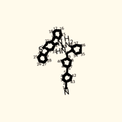 N#Cc1ccc(-c2ccc(C(NCn3c4ccccc4c4cc5sc6ccccc6c5cc43)c3ccccc3N)cc2)cc1